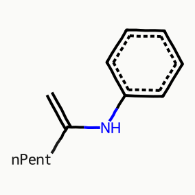 C=C(CCCCC)Nc1ccccc1